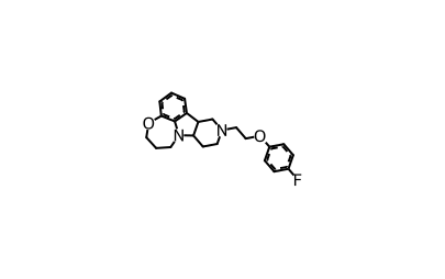 Fc1ccc(OCCN2CCC3C(C2)c2cccc4c2N3CCCO4)cc1